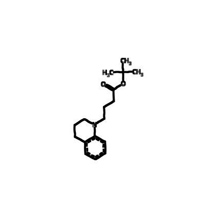 CC(C)(C)OC(=O)CCCN1CCCc2ccccc21